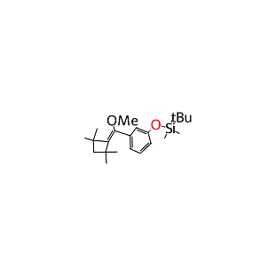 COC(=C1C(C)(C)CC1(C)C)c1cccc(O[Si](C)(C)C(C)(C)C)c1